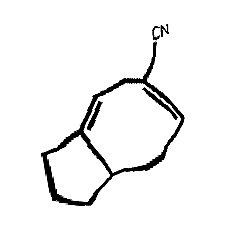 N#CC1=CCC2CCCC2=C1